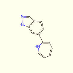 C1=CC=C(c2ccc3c(c2)[N]N=C3)NC=C1